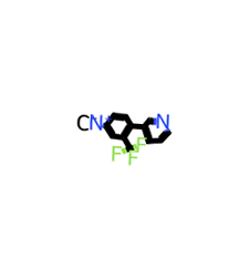 [C-]#[N+]c1ccc(-c2cccnc2)c(C(F)(F)F)c1